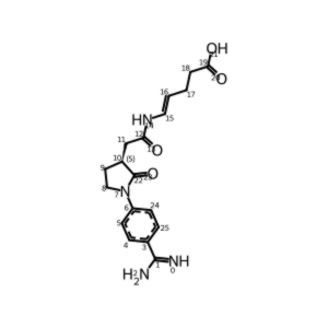 N=C(N)c1ccc(N2CC[C@@H](CC(=O)NC=CCCC(=O)O)C2=O)cc1